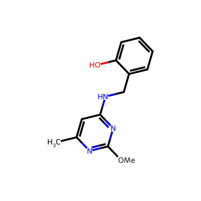 COc1nc(C)cc(NCc2ccccc2O)n1